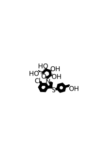 OCc1ccc(Sc2cn([C@@H]3O[C@H](CO)[C@@H](O)[C@H](O)[C@H]3O)c3c(Cl)cccc23)cc1